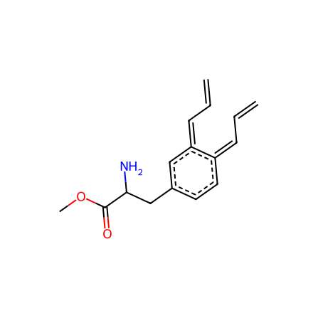 C=C/C=c1/ccc(CC(N)C(=O)OC)c/c1=C/C=C